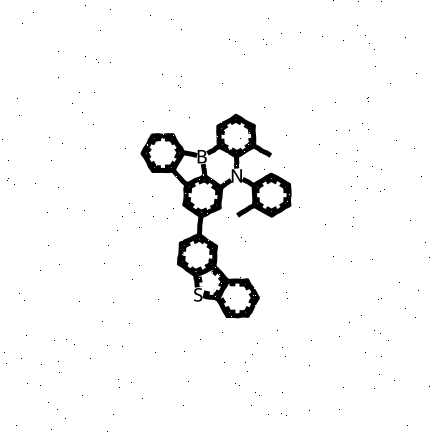 Cc1ccccc1N1c2cc(-c3ccc4sc5ccccc5c4c3)cc3c2B(c2ccccc2-3)c2cccc(C)c21